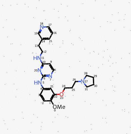 COc1ccc(Nc2nccc(NCCc3cccnc3)n2)cc1OCCCN1CCCC1